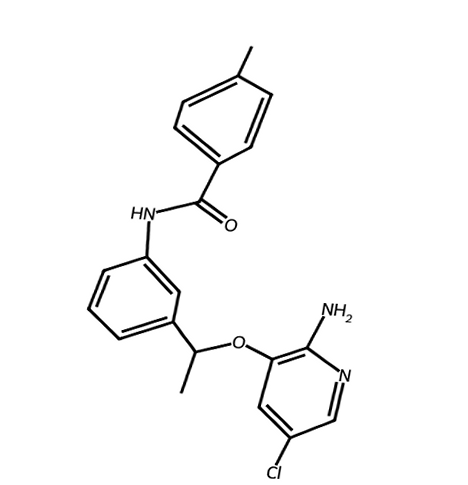 Cc1ccc(C(=O)Nc2cccc(C(C)Oc3cc(Cl)cnc3N)c2)cc1